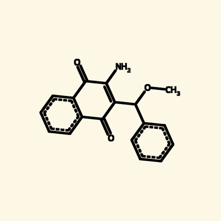 COC(C1=C(N)C(=O)c2ccccc2C1=O)c1ccccc1